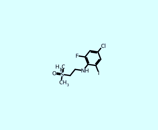 C[SH](C)(=O)CCNc1c(F)cc(Cl)cc1I